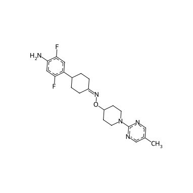 Cc1cnc(N2CCC(ON=C3CCC(c4cc(F)c(N)cc4F)CC3)CC2)nc1